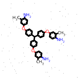 Cc1cc(Oc2ccc(C(c3ccc(Oc4ccc(N)c(C)c4)cc3)c3ccc(Oc4ccc(N)c(C)c4)cc3)cc2)ccc1N